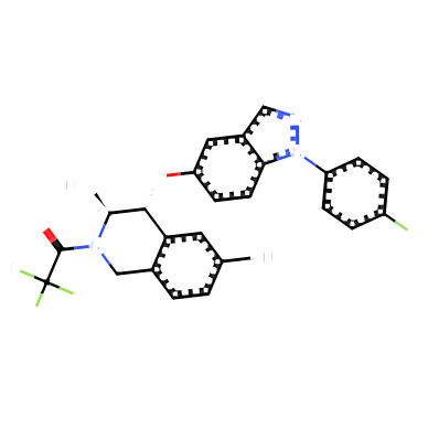 Cc1ccc2c(c1)[C@@H](Oc1ccc3c(cnn3-c3ccc(F)cc3)c1)[C@H](C)N(C(=O)C(F)(F)F)C2